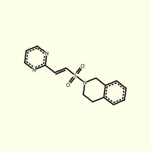 O=S(=O)(C=Cc1ncccn1)N1CCc2ccccc2C1